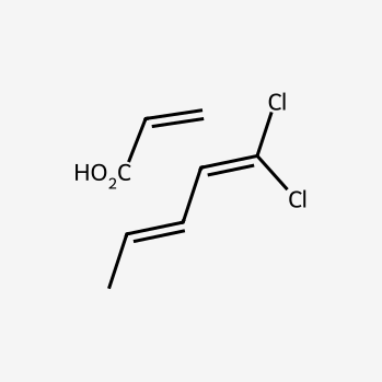 C=CC(=O)O.CC=CC=C(Cl)Cl